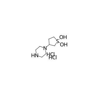 Cl.Cl.OS1(O)CCC(N2CCNCC2)C1